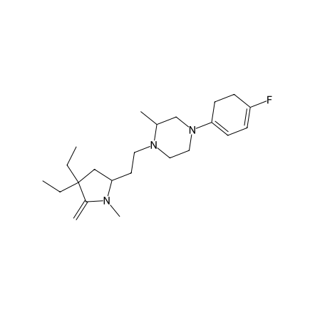 C=C1N(C)C(CCN2CCN(C3=CC=C(F)CC3)CC2C)CC1(CC)CC